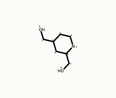 OC[C]1CC[N]C(CO)C1